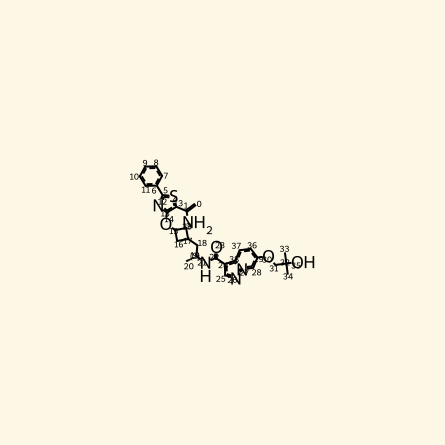 C=C(N)c1sc(-c2ccccc2)nc1OC1CC(C[C@H](C)NC(=O)c2cnn3cc(OCC(C)(C)O)ccc23)C1